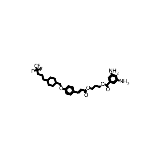 Nc1cc(N)cc(C(=O)OCCCOC(=O)/C=C/c2ccc(OCC3CCC(CCCC(F)(F)C(F)(F)F)CC3)cc2)c1